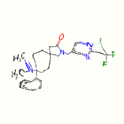 CN(C)C1(c2ccccc2)CCC2(CC1)CC(=O)N(c1cnc(C(F)(F)F)nc1)C2